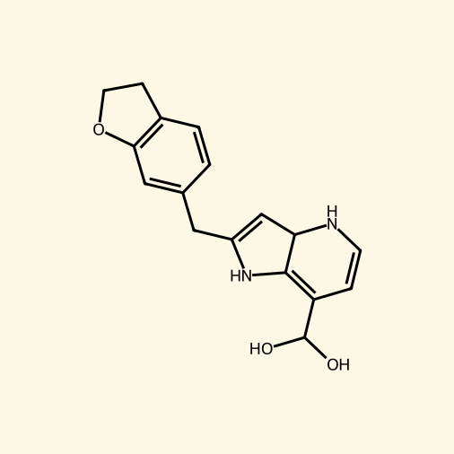 OC(O)C1=C2NC(Cc3ccc4c(c3)OCC4)=CC2NC=C1